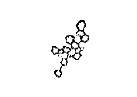 c1ccc(-c2ccc(N(c3cccc4c3oc3ccccc34)c3cccc4oc5c(-c6cccc7c6sc6ccccc67)c6ccccc6cc5c34)cc2)cc1